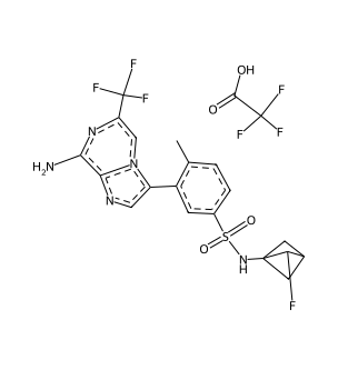 Cc1ccc(S(=O)(=O)NC23CC(C2)C3F)cc1-c1cnc2c(N)nc(C(F)(F)F)cn12.O=C(O)C(F)(F)F